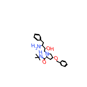 CC(C)(C)NC(=O)[C@@H]1C[C@@H](OCc2ccccc2)CN1C[C@@H](O)[C@@H](N)Cc1ccccc1